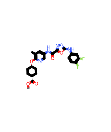 COC(=O)[C@H]1CC[C@H](Oc2ncc(NC(=O)c3nnc(Nc4ccc(F)c(F)c4)o3)cc2C)CC1